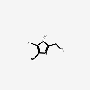 N#Cc1nc(CC(F)(F)F)[nH]c1C#N.[LiH]